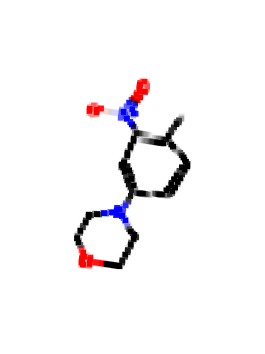 Cc1ccc(N2CCOCC2)cc1[N+](=O)[O-]